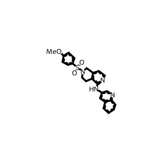 COc1ccc(S(=O)(=O)N2CCc3c(ccnc3Nc3cnc4ccccc4c3)C2)cc1